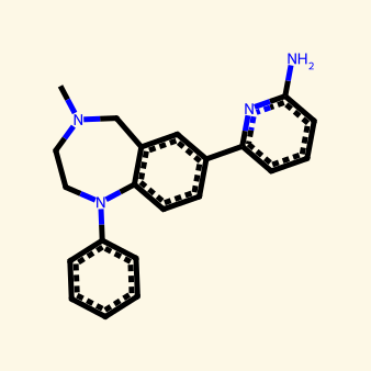 CN1CCN(c2ccccc2)c2ccc(-c3cccc(N)n3)cc2C1